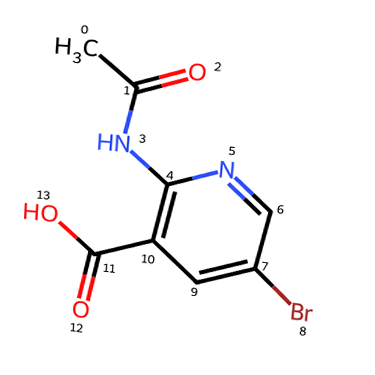 CC(=O)Nc1ncc(Br)cc1C(=O)O